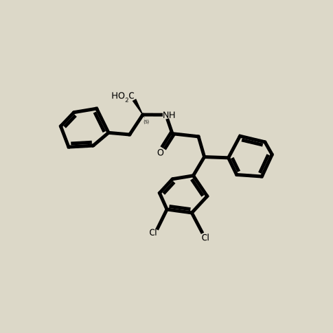 O=C(CC(c1ccccc1)c1ccc(Cl)c(Cl)c1)N[C@@H](Cc1ccccc1)C(=O)O